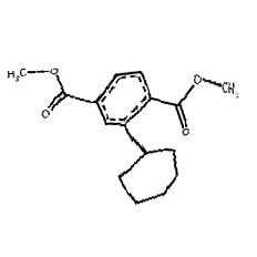 COC(=O)c1ccc(C(=O)OC)c(C2CCCCC2)c1